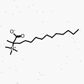 CCCCCCCCCCCCC(C)(C(=O)[O-])[N+](C)(C)C